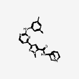 Cc1cc(C)cc(Nc2nccc(-c3cc(C(=O)NC4CN5CCC4CC5)n(C)n3)n2)c1